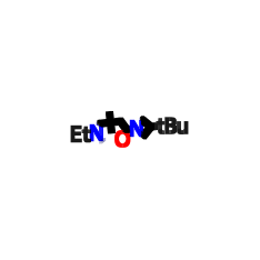 CCN(C)CC(C)(C)CC(=O)N1CC(C(C)(C)C)C1